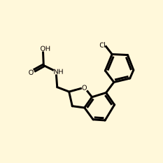 O=C(O)NCC1Cc2cccc(-c3cccc(Cl)c3)c2O1